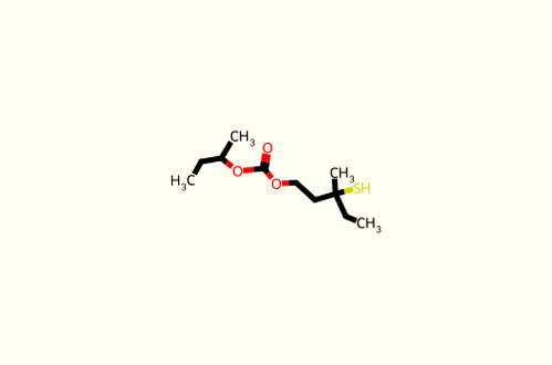 CCC(C)OC(=O)OCCC(C)(S)CC